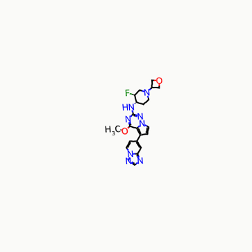 COc1nc(N[C@H]2CCN(C3COC3)C[C@@H]2F)nn2ccc(-c3ccn4ncnc4c3)c12